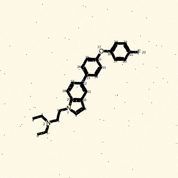 CCN(CC)CCn1ccc2cc(-c3ccc(Oc4ccc(F)cc4)cc3)ccc21